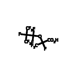 O=C(O)C(F)(OC(F)(F)C(F)(C(F)(F)F)C(F)(F)F)C(F)(F)F